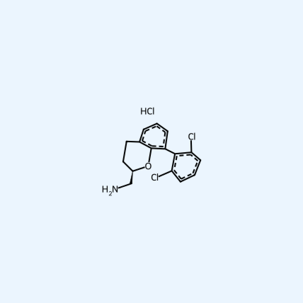 Cl.NC[C@H]1CCc2cccc(-c3c(Cl)cccc3Cl)c2O1